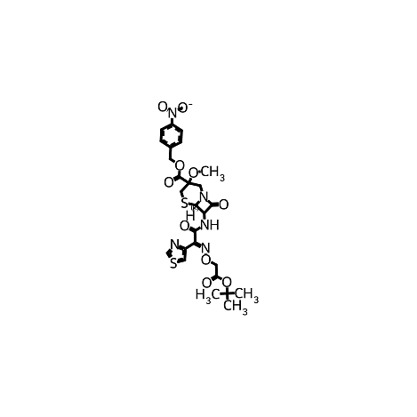 COC1(C(=O)OCc2ccc([N+](=O)[O-])cc2)CS[C@@H]2C(NC(=O)C(=NOCC(=O)OC(C)(C)C)c3cscn3)C(=O)N2C1